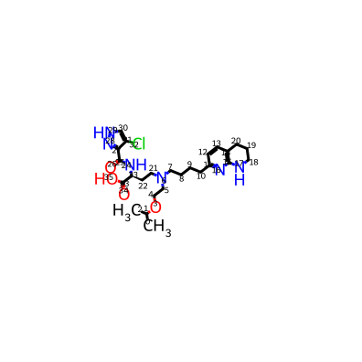 CC(C)OCCN(CCCCc1ccc2c(n1)NCCC2)CC[C@H](NC(=O)c1n[nH]cc1Cl)C(=O)O